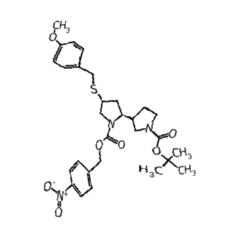 COc1ccc(CS[C@H]2C[C@@H](C3CCN(C(=O)OC(C)(C)C)C3)N(C(=O)OCc3ccc([N+](=O)[O-])cc3)C2)cc1